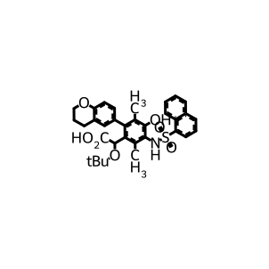 Cc1c(O)c(NS(=O)(=O)c2cccc3ccccc23)c(C)c(C(OC(C)(C)C)C(=O)O)c1-c1ccc2c(c1)CCCO2